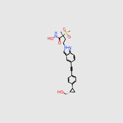 C[C@@](CCn1cc2cc(C#Cc3ccc([C@H]4C[C@@H]4CO)cc3)ccc2n1)(C(=O)NO)S(C)(=O)=O